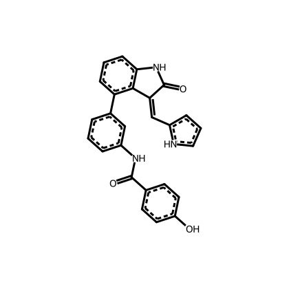 O=C1Nc2cccc(-c3cccc(NC(=O)c4ccc(O)cc4)c3)c2C1=Cc1ccc[nH]1